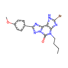 CCCCn1c(=O)n2nc(-c3ccc(OC)cc3)nc2c2[nH]c(Br)nc21